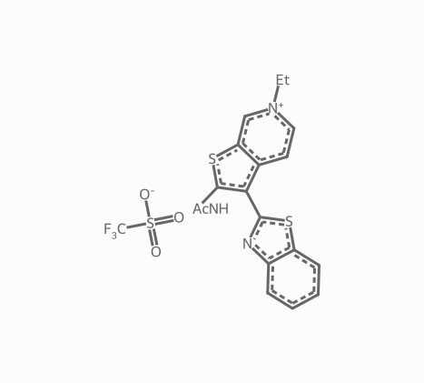 CC[n+]1ccc2c(-c3nc4ccccc4s3)c(NC(C)=O)sc2c1.O=S(=O)([O-])C(F)(F)F